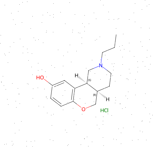 CCCN1CC[C@H]2COc3ccc(O)cc3[C@H]2C1.Cl